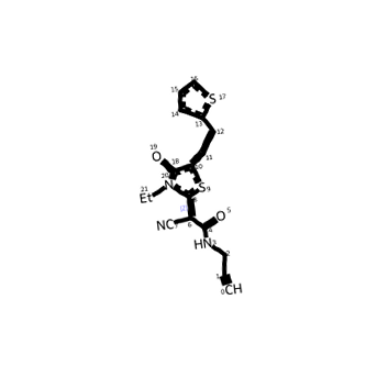 C#CCNC(=O)/C(C#N)=c1\sc(=C=Cc2cccs2)c(=O)n1CC